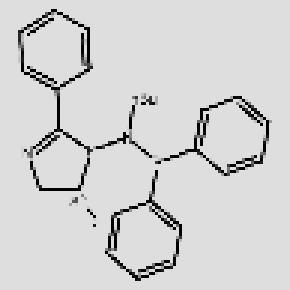 CCCCN(P(c1ccccc1)c1ccccc1)P1C(c2ccccc2)=NC[C@H]1C